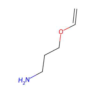 C=COCCCN